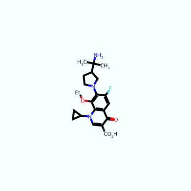 CCOc1c(N2CCC(C(C)(C)N)C2)c(F)cc2c(=O)c(C(=O)O)cn(C3CC3)c12